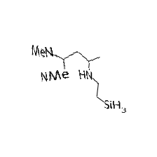 CNC(CC(C)NCC[SiH3])NC